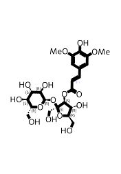 COc1cc(/C=C/C(=O)O[C@H]2[C@H](O)[C@@H](CO)O[C@@]2(CO)O[C@H]2O[C@H](CO)[C@@H](O)[C@H](O)[C@H]2O)cc(OC)c1O